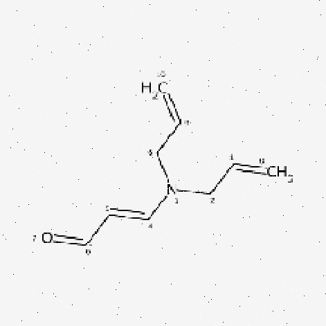 C=CCN(/C=C/[C]=O)CC=C